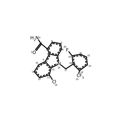 NC(=O)c1cccc2c1c1[c]ccc(Cl)c1n2Cc1c(F)cccc1C(F)(F)F